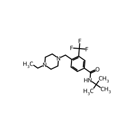 CCN1CCN(Cc2ccc(C(=O)NC(C)(C)C)cc2C(F)(F)F)CC1